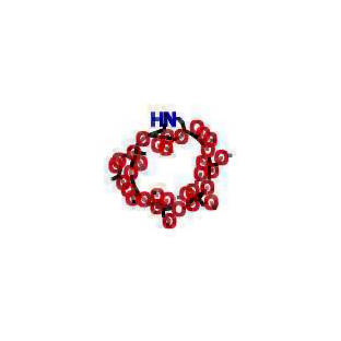 COCC(C)OC1OC2C(COC)OC(OC3C4CNCCC(OC(O4)C(OC)C3OC)C(OC)C(OC)C(OC)OC3C(COC)OC(OC4C(COC)OC(OC5C(COC)OC(OC(OC)C1OC)C(OC)C5OC)C(OC)C4OC)C(OC)C3OC)C(C)C2OC